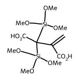 C=C(C(=O)O)C(C(=O)O)([Si](OC)(OC)OC)[Si](OC)(OC)OC